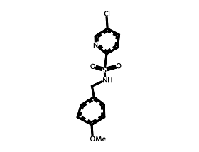 COc1ccc(CNS(=O)(=O)c2ccc(Cl)cn2)cc1